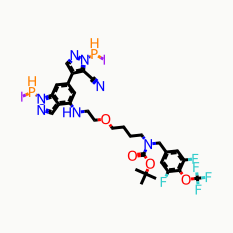 CC(C)(C)OC(=O)N(CCCCOCCNc1cc(-c2cnn(PI)c2C#N)cc2c1cnn2PI)Cc1cc(F)c(OC(F)(F)F)c(F)c1